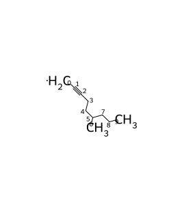 [CH2]C#CCCC(C)CCC